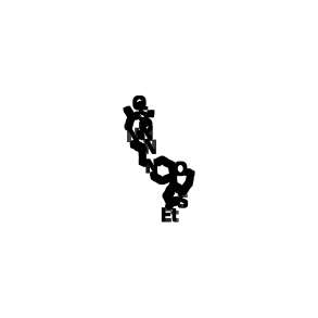 CCc1cc2c(s1)CCOC21CCN(Cc2cn(CC(C)S(C)(=O)=O)nn2)CC1